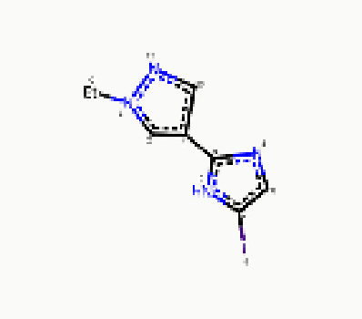 CCn1cc(-c2ncc(I)[nH]2)cn1